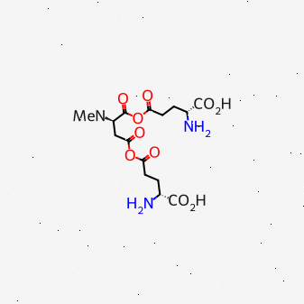 CN[C@H](CC(=O)OC(=O)CC[C@@H](N)C(=O)O)C(=O)OC(=O)CC[C@@H](N)C(=O)O